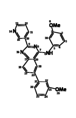 COc1cccc(Nc2nc(-c3cccnc3)nc3ccc(-c4cccc(OC)c4)cc23)c1